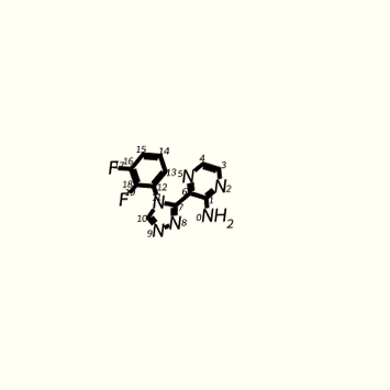 Nc1nccnc1-c1nncn1-c1cccc(F)c1F